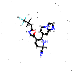 CC1(C#N)C=CC(c2cnc(CC(C)(C)C(F)(F)F)o2)=C(c2ccn3ccnc3c2)N1